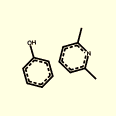 Cc1cccc(C)n1.Oc1ccccc1